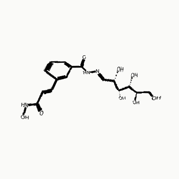 O=C(/C=C/c1cccc(C(=O)N/N=C/[C@H](O)[C@@H](O)[C@H](O)[C@H](O)CO)c1)NO